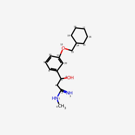 CNC(=N)CC(O)c1cccc(OCC2CCCCC2)c1